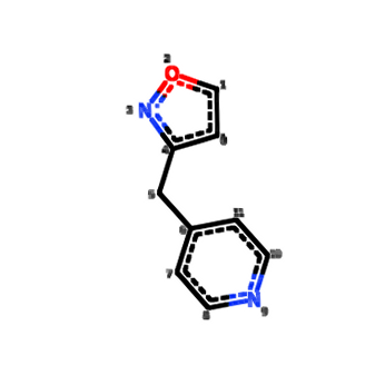 [c]1conc1Cc1ccncc1